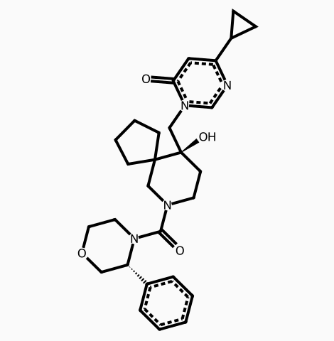 O=C(N1CC[C@@](O)(Cn2cnc(C3CC3)cc2=O)C2(CCCC2)C1)N1CCOC[C@H]1c1ccccc1